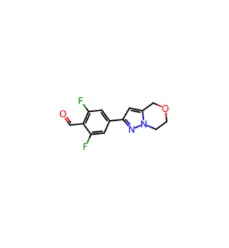 O=Cc1c(F)cc(-c2cc3n(n2)CCOC3)cc1F